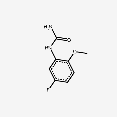 COc1ccc(F)cc1NC(N)=O